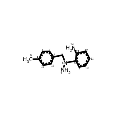 Cc1ccc(CN(N)c2ccccc2N)cc1